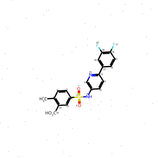 Cc1ccc(S(=O)(=O)Nc2ccc(-c3ccc(F)c(F)c3)nc2)cc1C(=O)O